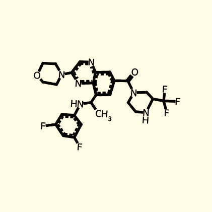 CC(Nc1cc(F)cc(F)c1)c1cc(C(=O)N2CCNC(C(F)(F)F)C2)cc2ncc(N3CCOCC3)nc12